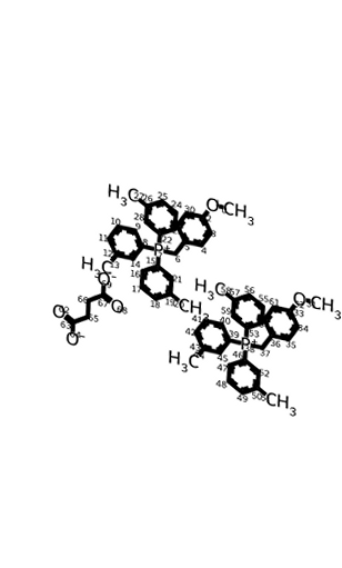 COc1ccc(C[P+](c2cccc(C)c2)(c2cccc(C)c2)c2cccc(C)c2)cc1.COc1ccc(C[P+](c2cccc(C)c2)(c2cccc(C)c2)c2cccc(C)c2)cc1.O=C([O-])CCC(=O)[O-]